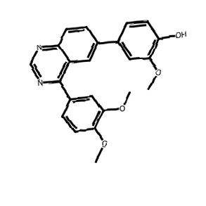 COc1cc(-c2ccc3ncnc(-c4ccc(OC)c(OC)c4)c3c2)ccc1O